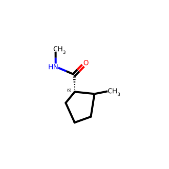 CNC(=O)[C@H]1CCCC1C